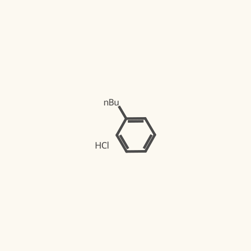 CCCCc1ccccc1.Cl